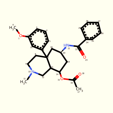 COc1cccc(C23CCN(C)CC2C(OC(C)=O)C[C@H](NC(=O)c2ccccc2)C3)c1